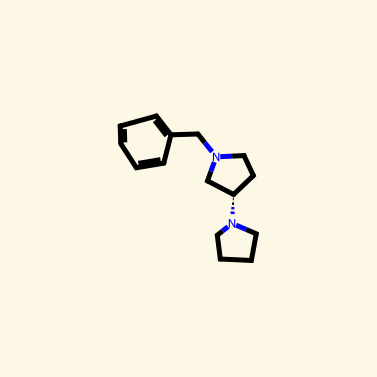 c1ccc(CN2CC[C@H](N3CCCC3)C2)cc1